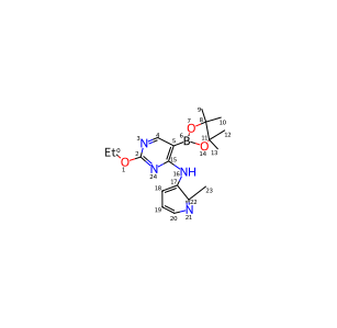 CCOc1ncc(B2OC(C)(C)C(C)(C)O2)c(Nc2cccnc2C)n1